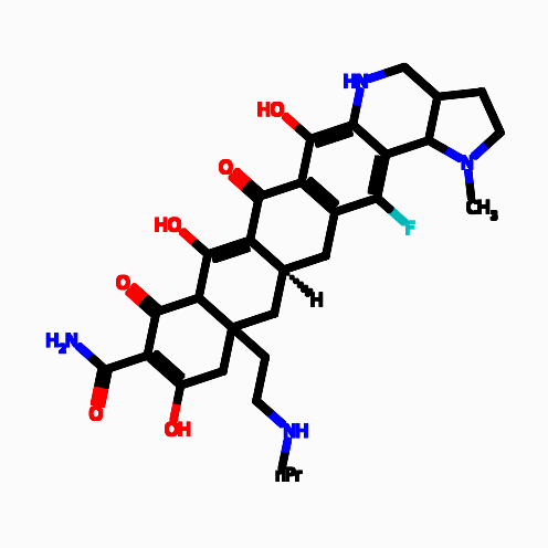 CCCNCCC12CC(O)=C(C(N)=O)C(=O)C1C(O)=C1C(=O)c3c(O)c4c(c(F)c3C[C@H]1C2)C1C(CCN1C)CN4